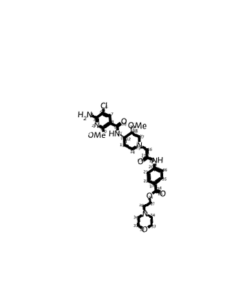 COc1nc(N)c(Cl)cc1C(=O)N[C@H]1CCN(CC(=O)Nc2ccc(C(=O)OCCN3CCOCC3)cc2)C[C@H]1OC